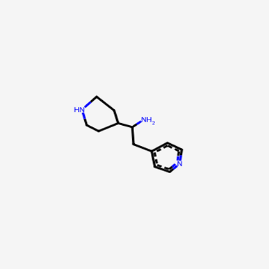 NC(Cc1ccncc1)C1CCNCC1